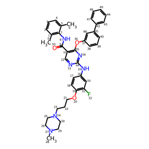 Cc1cccc(C)c1NC(=O)c1cnc(Nc2ccc(OCCCN3CCN(C)CC3)c(F)c2)nc1Oc1cccc(-c2ccccc2)c1